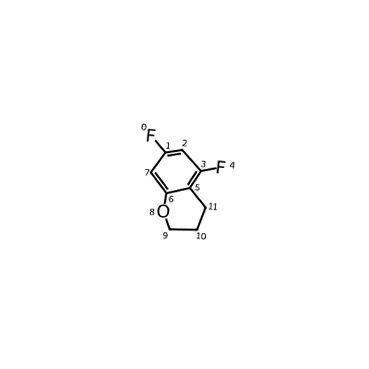 Fc1cc(F)c2c(c1)OCCC2